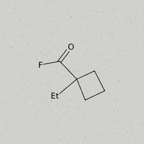 CCC1(C(=O)F)CCC1